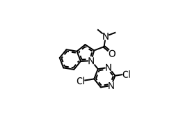 CN(C)C(=O)c1cc2ccccc2n1-c1nc(Cl)ncc1Cl